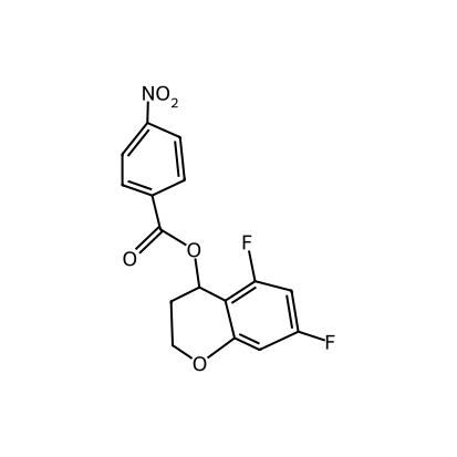 O=C(OC1CCOc2cc(F)cc(F)c21)c1ccc([N+](=O)[O-])cc1